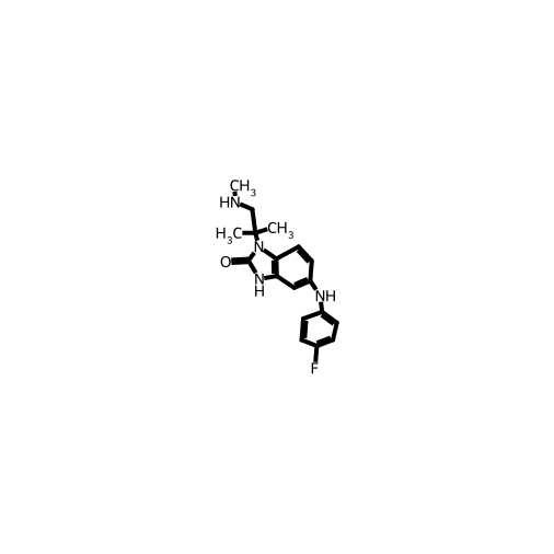 CNCC(C)(C)n1c(=O)[nH]c2cc(Nc3ccc(F)cc3)ccc21